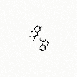 Cn1c(CN)c(OCc2cccc3ccccc23)c2cc(Cl)ccc2c1=O